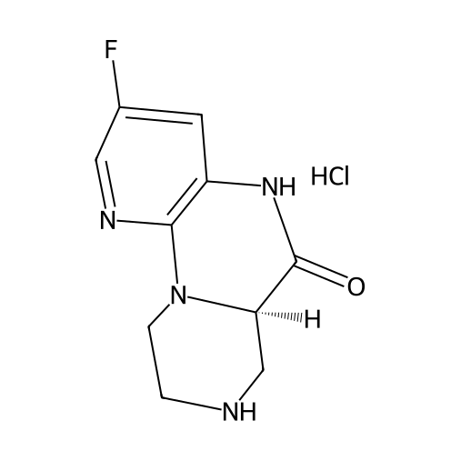 Cl.O=C1Nc2cc(F)cnc2N2CCNC[C@H]12